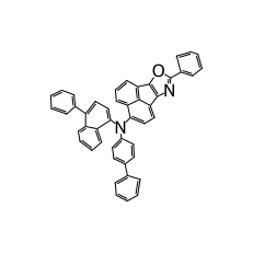 c1ccc(-c2ccc(N(c3ccc(-c4ccccc4)c4ccccc34)c3ccc4c5c(cccc35)-c3oc(-c5ccccc5)nc3-4)cc2)cc1